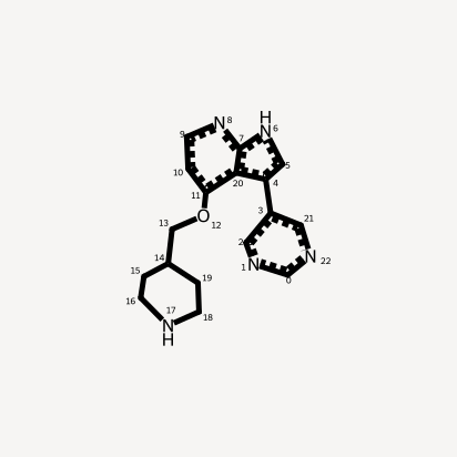 c1ncc(-c2c[nH]c3nccc(OCC4CCNCC4)c23)cn1